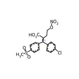 CS(=O)(=O)c1ccc(/C(=C(/CCO[N+](=O)[O-])C(=O)O)c2ccc(Cl)cc2)cc1